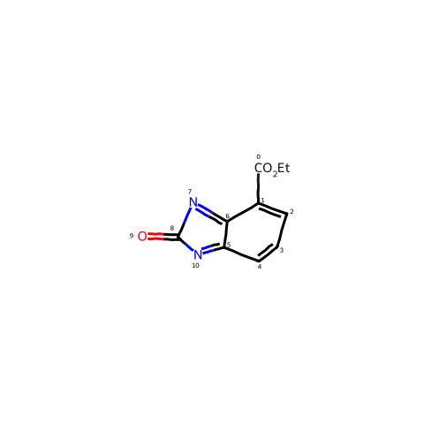 CCOC(=O)c1cccc2c1=NC(=O)N=2